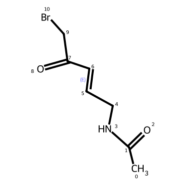 CC(=O)NC/C=C/C(=O)CBr